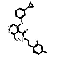 COc1nncc(Oc2cccc(C3CC3)c2)c1C(=O)NCCc1ccc(Cl)cc1Cl